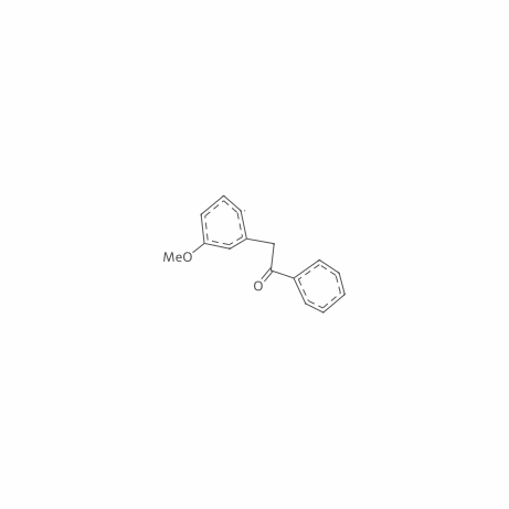 COc1cc[c]c(CC(=O)c2ccccc2)c1